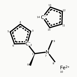 C[C@@H]([c-]1cccc1)N(C)C.[Fe+2].c1cc[cH-]c1